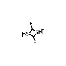 FC1[SiH](F)C(F)[SiH]1F